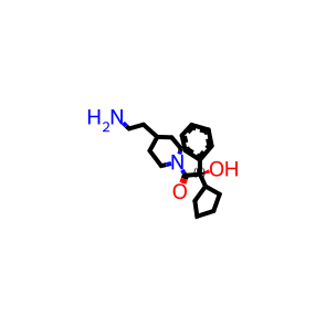 NCCC1CCN(C(=O)[C@](O)(c2ccccc2)C2CCCC2)CC1